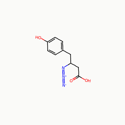 [N-]=[N+]=NC(CC(=O)O)Cc1ccc(O)cc1